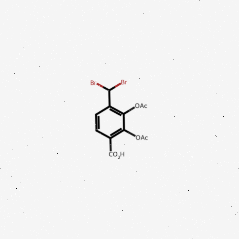 CC(=O)Oc1c(C(=O)O)ccc(C(Br)Br)c1OC(C)=O